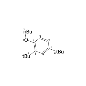 CCCCOc1ccc(C(C)(C)C)cc1C(C)(C)C